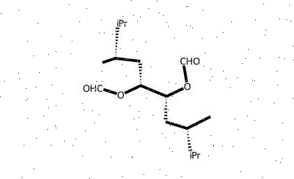 CC(C)[C@@H](C)C[C@@H](OC=O)[C@@H](C[C@H](C)C(C)C)OC=O